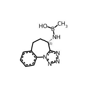 CB(O)N[C@H]1CCc2ccccc2-n2nnnc21